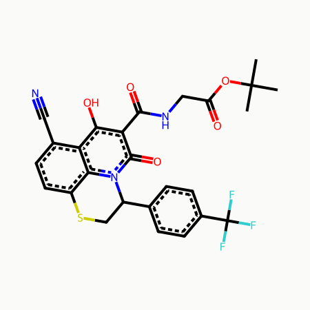 CC(C)(C)OC(=O)CNC(=O)c1c(O)c2c(C#N)ccc3c2n(c1=O)C(c1ccc(C(F)(F)F)cc1)CS3